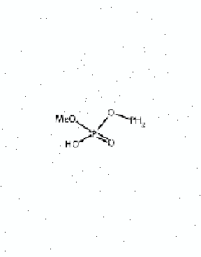 COP(=O)(O)OP